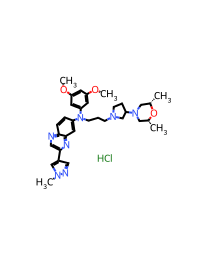 COc1cc(OC)cc(N(CCCN2CCC(N3C[C@@H](C)O[C@@H](C)C3)C2)c2ccc3ncc(-c4cnn(C)c4)nc3c2)c1.Cl